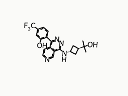 CC(C)(O)[C@H]1C[C@H](Nc2nnc(-c3ccc(C(F)(F)F)cc3O)c3ccncc23)C1